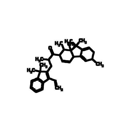 C=CC1=C(CC(C)C(=O)C2C=CC3C4=CC(C)CC=C4C(C)(C)C3(C)C2C)C(C)(C)c2ccccc21